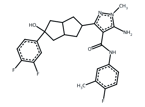 Cc1cc(NC(=O)c2c(C3CC4CC(O)(c5ccc(F)c(F)c5)CC4C3)nn(C)c2N)ccc1F